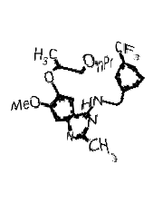 CCCOCC(C)Oc1cc2c(NCc3cccc(C(F)(F)F)c3)nc(C)nc2cc1OC